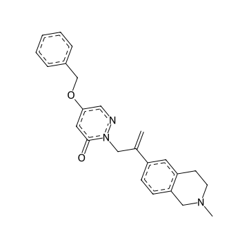 C=C(Cn1ncc(OCc2ccccc2)cc1=O)c1ccc2c(c1)CCN(C)C2